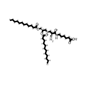 CCCCCCCCCCCC(=O)OC[C@@H](CSC[C@H](N)C(=O)NCCCCCC(=O)O)OC(=O)CCCCCCCCCCC